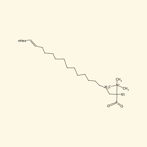 CCCCCCC=CCCCCCCCCCCCCCCC(CC)(P(=O)=O)[N+](C)(C)C